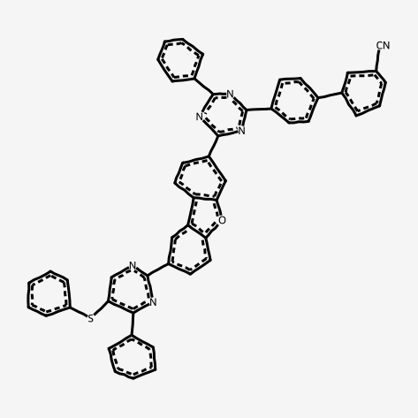 N#Cc1cccc(-c2ccc(-c3nc(-c4ccccc4)nc(-c4ccc5c(c4)oc4ccc(-c6ncc(Sc7ccccc7)c(-c7ccccc7)n6)cc45)n3)cc2)c1